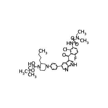 CCCCC1CN(c2ccc(-c3cnc4[nH]cc(C(=O)c5c(F)ccc(NS(=O)(=O)N(C)CC)c5Cl)c4c3)cc2)CCN1C(=O)OC(C)(C)C